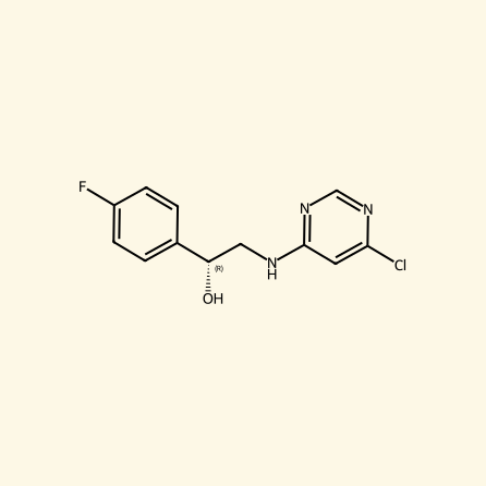 O[C@@H](CNc1cc(Cl)ncn1)c1ccc(F)cc1